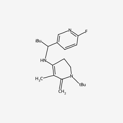 C=C1C(C)=C(NC(c2ccc(F)nc2)C(C)CC)CCN1C(C)(C)C